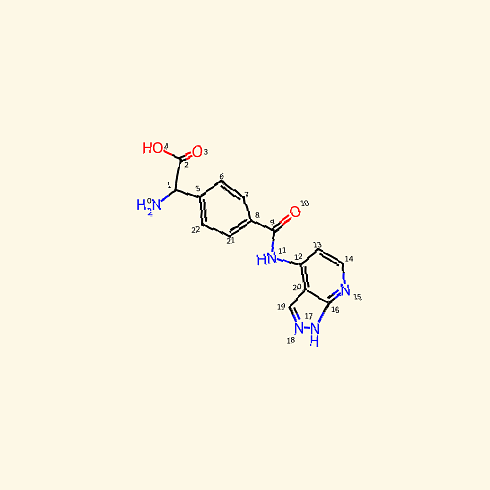 NC(C(=O)O)c1ccc(C(=O)Nc2ccnc3[nH]ncc23)cc1